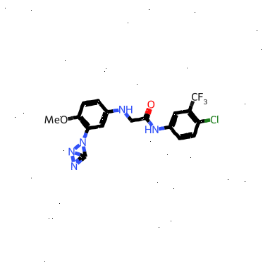 COc1ccc(NCC(=O)Nc2ccc(Cl)c(C(F)(F)F)c2)cc1-n1c2nn1-2